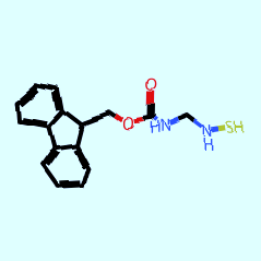 O=C(NCNS)OCC1c2ccccc2-c2ccccc21